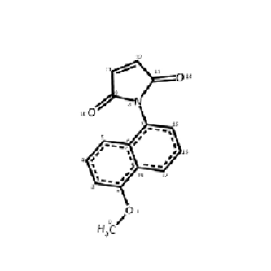 COc1cccc2c(N3C(=O)C=CC3=O)cccc12